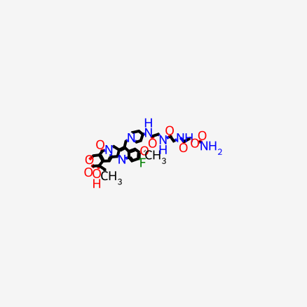 CCC1(O)C(=O)OCc2c1cc1n(c2=O)Cc2c-1nc1cc(F)c(OC)cc1c2CN1CCC(NC(=O)CNC(=O)CNC(=O)COC(N)=O)CC1